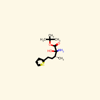 C[C@H](CCc1cccs1)C(N)(O)C(=O)OC(C)(C)C